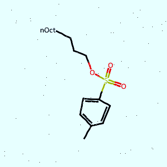 CCCCCCCCCCCOS(=O)(=O)c1ccc(C)cc1